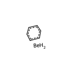 [BeH2].c1ccccc1